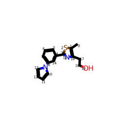 Cc1sc(-c2cccc(-n3cccc3)c2)nc1CCO